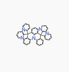 c1ccc(C2(c3ccccn3)c3ccccc3N3c4ccccc4C(c4ccccn4)(c4ccccn4)c4cccc2c43)nc1